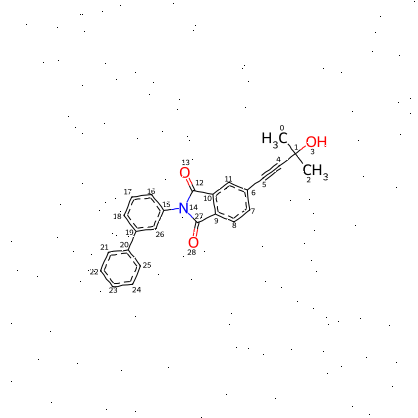 CC(C)(O)C#Cc1ccc2c(c1)C(=O)N(c1cccc(-c3ccccc3)c1)C2=O